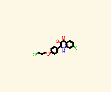 O=c1c(O)c(-c2ccc(OCCCCl)cc2)[nH]c2cc(Cl)ccc12